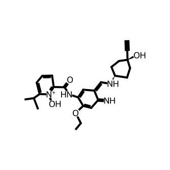 C#C[C@]1(O)CC[C@H](N/C=C2/C=C(NC(=O)c3cccc(C(C)C)[n+]3O)C(OCC)=CC2=N)CC1